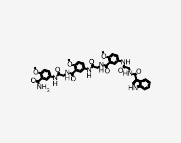 COc1ccc(NC(=O)CNC(=O)c2cc(NC(=O)CNC(=O)c3cc(NC(=O)CNC(=O)c4c[nH]c5ccccc45)ccc3OC)ccc2OC)cc1C(N)=O